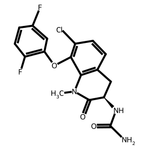 CN1C(=O)[C@H](NC(N)=O)Cc2ccc(Cl)c(Oc3cc(F)ccc3F)c21